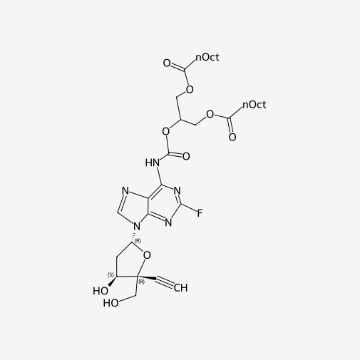 C#C[C@]1(CO)O[C@@H](n2cnc3c(NC(=O)OC(COC(=O)CCCCCCCC)COC(=O)CCCCCCCC)nc(F)nc32)C[C@@H]1O